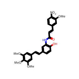 COc1cc(/C=C/C(=O)Nc2cc(C=Cc3cc(OC)c(OC)c(OC)c3)ccc2O)ccc1[N+](=O)[O-]